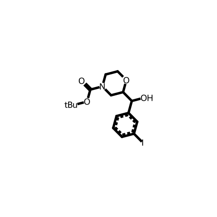 CC(C)(C)OC(=O)N1CCOC(C(O)c2cccc(I)c2)C1